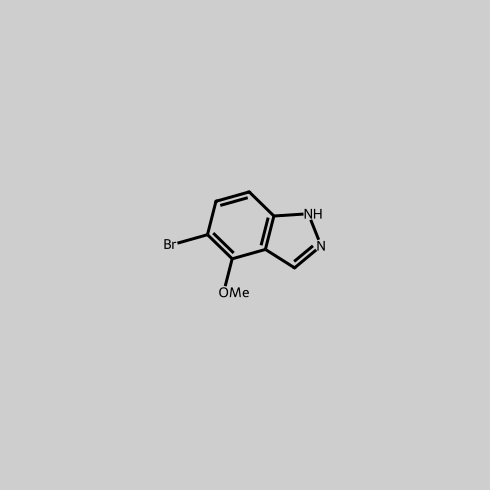 COc1c(Br)ccc2[nH]ncc12